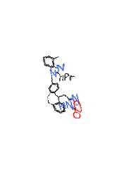 CCCc1nc2c(C)cccc2n1Cc1ccc2c(c1)CCc1ccccc1C2Cc1noc(=O)[nH]1